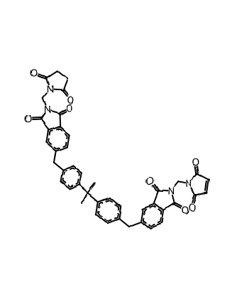 CC(C)(c1ccc(Cc2ccc3c(c2)C(=O)N(CN2C(=O)C=CC2=O)C3=O)cc1)c1ccc(Cc2ccc3c(c2)C(=O)N(CN2C(=O)CCC2=O)C3=O)cc1